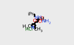 Cc1cc(CCC(C)(OC(N)=O)C(=O)NCCC(C)C)cc(C)n1.Cl